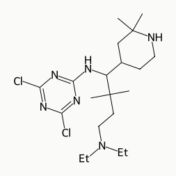 CCN(CC)CCC(C)(C)C(Nc1nc(Cl)nc(Cl)n1)C1CCNC(C)(C)C1